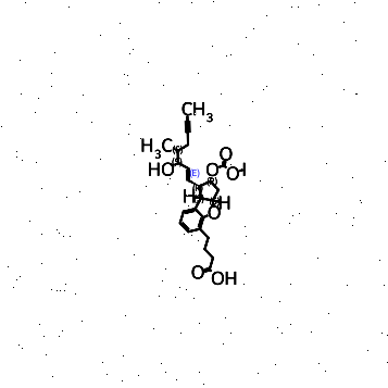 CC#CC[C@H](C)[C@H](O)/C=C/[C@@H]1[C@H]2c3cccc(CCCC(=O)O)c3O[C@H]2C[C@H]1OC(=O)OI